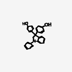 Oc1ccc(C2(c3ccc(O)cc3)CN(c3ccccc3)c3ccccc32)cc1